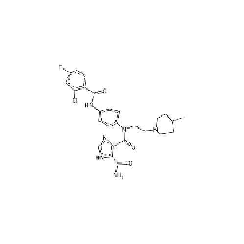 CC1CCN(CCN(C(=O)c2nc[nH]c2C(N)=O)c2ccc(NC(=O)c3ccc(F)cc3Cl)cc2)CC1